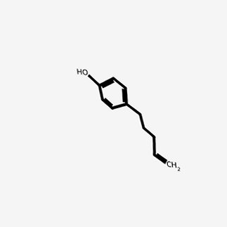 C=CCCCc1ccc(O)cc1